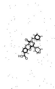 O=C(O)c1ccc(Cn2c(=O)c(C3CCOCC3)nn(Cc3ccccc3)c2=O)cc1